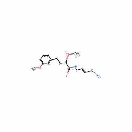 COc1cccc(CC[C@H](OC)C(=O)NC/C=C/CN)c1